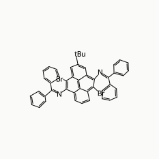 CC(C)(C)c1cc2c(Br)c(N=C(c3ccccc3)c3ccccc3)c3cccc4c(Br)c(N=C(c5ccccc5)c5ccccc5)c(c1)c2c43